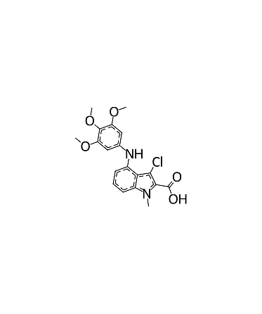 COc1cc(Nc2cccc3c2c(Cl)c(C(=O)O)n3C)cc(OC)c1OC